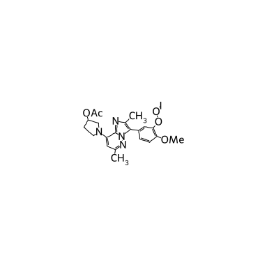 COc1ccc(-c2c(C)nc3c(N4CCC(OC(C)=O)C4)cc(C)nn23)cc1OOI